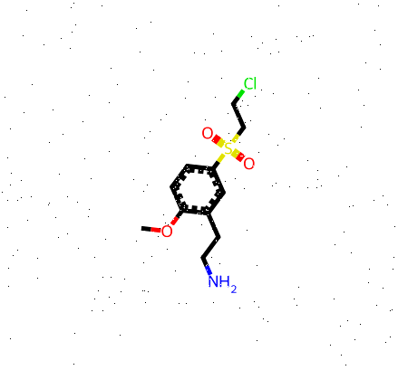 COc1ccc(S(=O)(=O)CCCl)cc1CCN